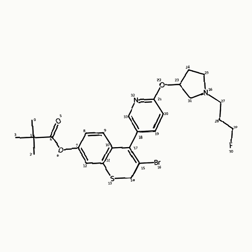 CC(C)(C)C(=O)Oc1ccc2c(c1)SCC(Br)=C2c1ccc(OC2CCN(CCCF)C2)nc1